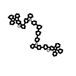 c1ccc(C2(c3ccccc3)c3ccccc3-c3cc4c(cc32)oc2cc(-c3ccc5c6ccccc6n(-c6ccc(-c7ccc(-c8cccc(-c9ccc(-n%10c%11ccccc%11c%11ccc(-c%12cccc%13oc%14cc%15c(cc%14c%12%13)-c%12ccccc%12C%15(c%12ccccc%12)c%12ccccc%12)cc%11%10)cc9)c8)cc7)cc6)c5c3)ccc24)cc1